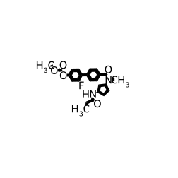 CCC(=O)N[C@H]1CC[C@@H](N(C)C(=O)c2ccc(-c3ccc(OC(=O)OC)cc3F)cc2)C1